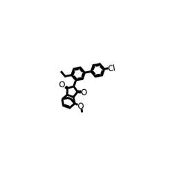 CCc1ccc(-c2ccc(Cl)cc2)cc1C1C(=O)C2C3C=CC(OC)(CC3)C2C1=O